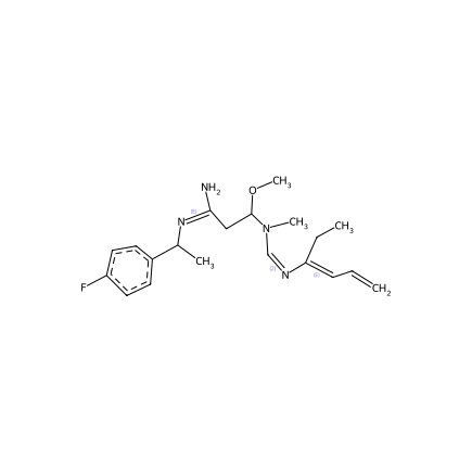 C=C/C=C(CC)/N=C\N(C)C(C/C(N)=N\C(C)c1ccc(F)cc1)OC